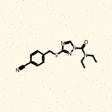 CCN(CC)C(=O)n1cnc(SCc2ccc(C#N)cc2)n1